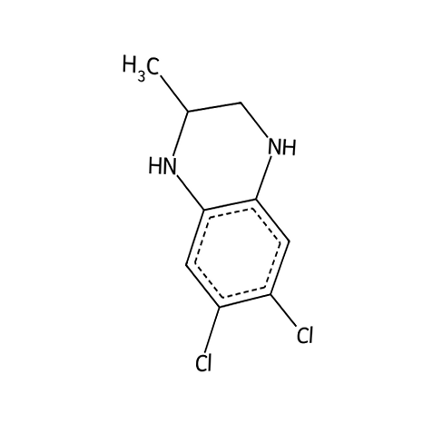 CC1CNc2cc(Cl)c(Cl)cc2N1